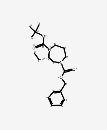 CC[C@H]1CN(C(=O)OCc2ccccc2)CCCN1C(=O)OC(C)(C)C